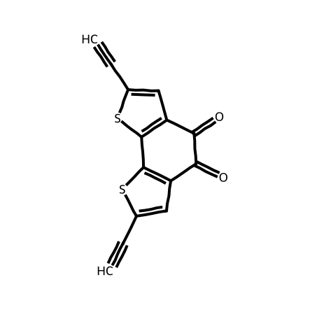 C#Cc1cc2c(s1)-c1sc(C#C)cc1C(=O)C2=O